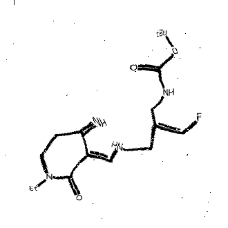 CCN1CCC(=N)/C(=C\NC/C(=C/F)CNC(=O)OC(C)(C)C)C1=O